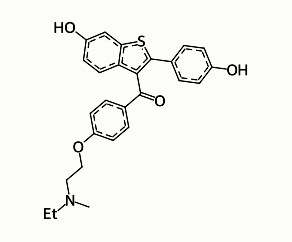 CCN(C)CCOc1ccc(C(=O)c2c(-c3ccc(O)cc3)sc3cc(O)ccc23)cc1